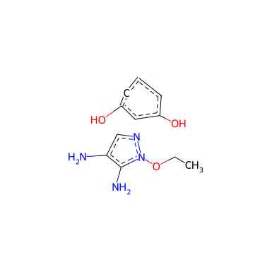 CCOn1ncc(N)c1N.Oc1cccc(O)c1